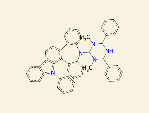 CN1C(c2ccccc2)NC(c2ccccc2)N(C)C1N1c2ccccc2-c2ccc3c4ccccc4n(-c4ccccc4)c3c2-c2ccccc21